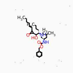 CCCCC=CC1C(=O)C1C(O)[C@H](CCCC)NC[C@@H](CC(C)C)NC(=O)OCc1ccccc1